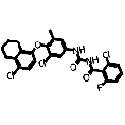 Cc1cc(NC(=O)NC(=O)c2c(F)cccc2Cl)cc(Cl)c1Oc1ccc(Cl)c2c1CCCC2